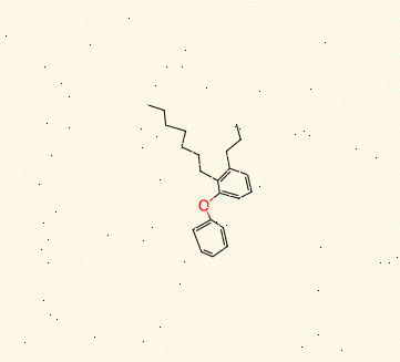 CCCCCCCc1c(CCC)cccc1Oc1ccccc1